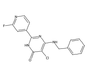 O=c1[nH]c(-c2ccnc(F)c2)nc(NCc2ccccc2)c1Cl